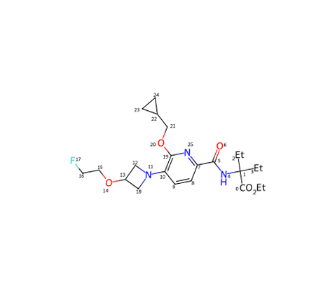 CCOC(=O)C(CC)(CC)NC(=O)c1ccc(N2CC(OCCF)C2)c(OCC2CC2)n1